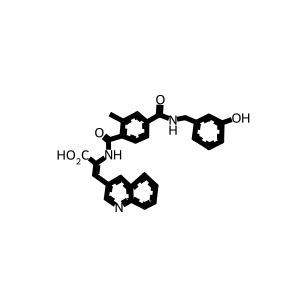 Cc1cc(C(=O)NCc2cccc(O)c2)ccc1C(=O)NC(=Cc1cnc2ccccc2c1)C(=O)O